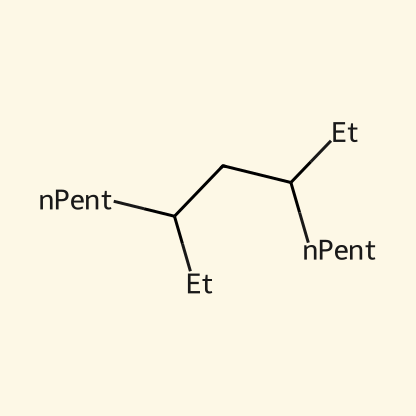 CCCCCC(CC)CC(CC)CCCCC